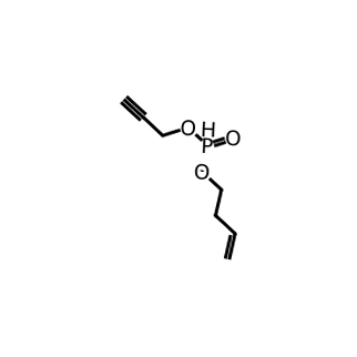 C#CCO[PH](=O)OCCC=C